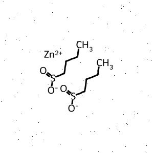 CCCCS(=O)[O-].CCCCS(=O)[O-].[Zn+2]